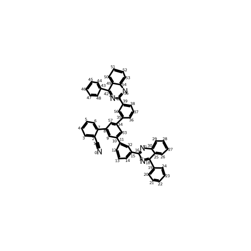 N#Cc1ccccc1-c1cc(-c2cccc(-c3nc(-c4ccccc4)c4ccccc4n3)c2)cc(-c2cccc(-c3nc(-c4ccccc4)c4ccccc4n3)c2)c1